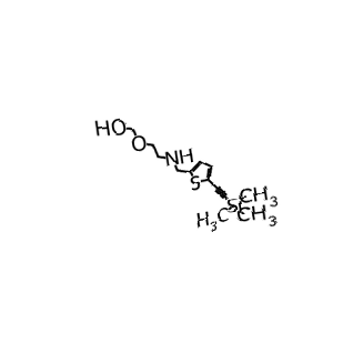 C[Si](C)(C)C#Cc1ccc(CNCCOCO)s1